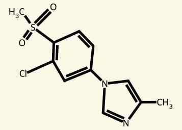 Cc1cn(-c2ccc(S(C)(=O)=O)c(Cl)c2)cn1